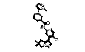 Cn1nccc1[C@H]1CCC=C(C(=O)Nc2cc(-c3cnn4c3CC(C)(C)C4)c(Cl)cn2)C1